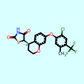 Cc1cc(Oc2ccc3c(c2)OCC[C@H]3C2SC(=O)NC2=O)c(Cl)cc1C(F)(F)F